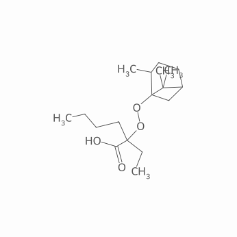 CCCCC(CC)(OOC12CC(CCC1C)C2(C)C)C(=O)O